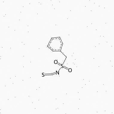 O=S(=O)(Cc1ccccc1)N=C=S